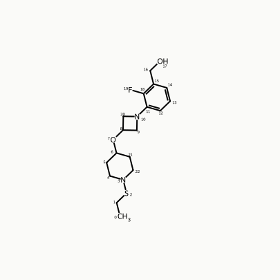 CCSN1CCC(OC2CN(c3cccc(CO)c3F)C2)CC1